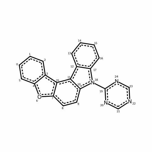 c1ccc2c(c1)oc1ccc3c(c4ccccc4n3-c3ncncn3)c12